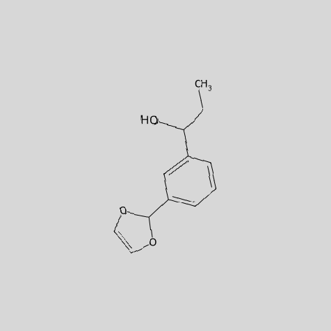 CCC(O)c1cccc(C2OC=CO2)c1